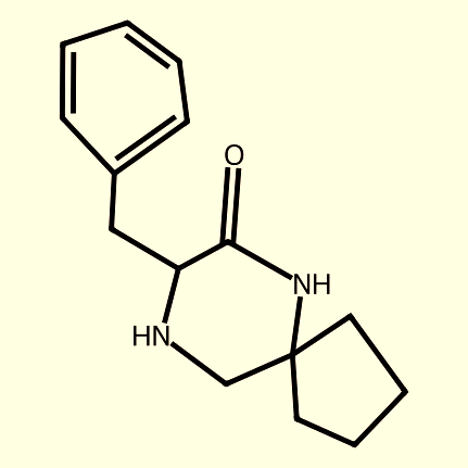 O=C1NC2(CCCC2)CNC1Cc1ccccc1